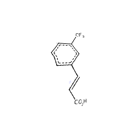 O=C(O)/C=C/c1cc[c]c(C(F)(F)F)c1